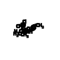 CCN1CCN(CC(=O)Nc2nc(C(C)(C)C)c(Cc3ccc(Cl)cc3Cl)s2)CC1